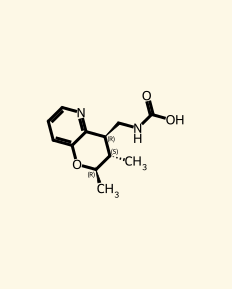 C[C@H]1[C@H](CNC(=O)O)c2ncccc2O[C@@H]1C